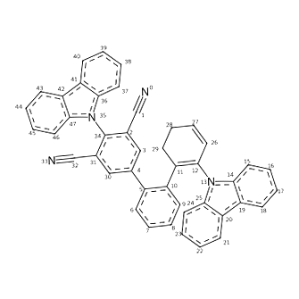 N#Cc1cc(-c2ccccc2C2=C(n3c4ccccc4c4ccccc43)C=CCC2)cc(C#N)c1-n1c2ccccc2c2ccccc21